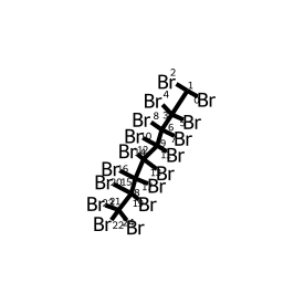 BrC(Br)C(Br)(Br)C(Br)(Br)C(Br)(Br)C(Br)(Br)C(Br)(Br)C(Br)(Br)C(Br)(Br)Br